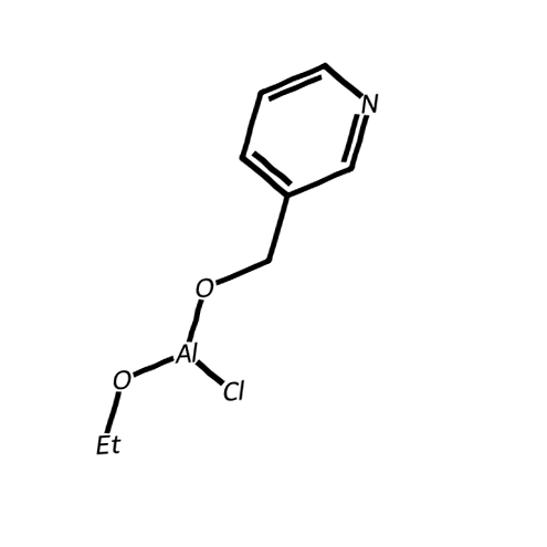 CC[O][Al]([Cl])[O]Cc1cccnc1